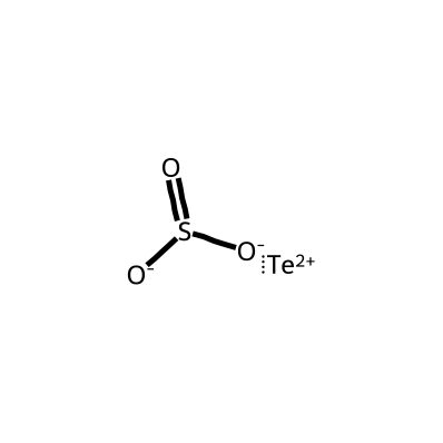 O=S([O-])[O-].[Te+2]